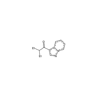 CCC(CC)C(=O)c1cnn2ccccc12